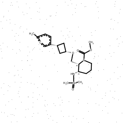 COC(=O)N1CCC[C@H](N[SH](C)(C)=O)[C@@H]1CO[C@H]1C[C@@H](c2ccc(C)cc2)C1